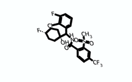 CS(=O)(=O)c1cc(C(F)(F)F)ccc1C(=O)NC(c1cccc(F)c1Cl)[C@]1(O)CC[C@@H](F)CC1